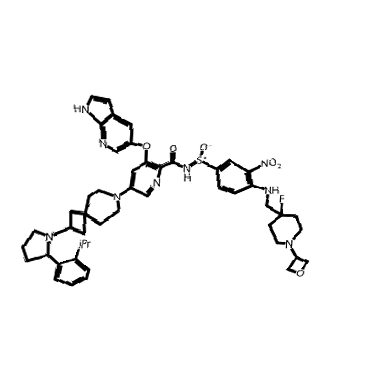 CC(C)c1ccccc1C1CCCN1C1CC2(CCN(c3cnc(C(=O)N[S+]([O-])c4ccc(NCC5(F)CCN(C6COC6)CC5)c([N+](=O)[O-])c4)c(Oc4cnc5[nH]ccc5c4)c3)CC2)C1